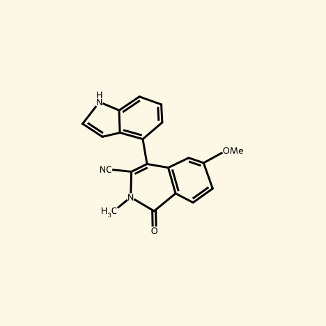 COc1ccc2c(=O)n(C)c(C#N)c(-c3cccc4[nH]ccc34)c2c1